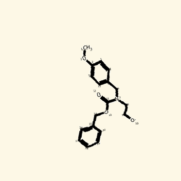 COc1ccc(CN(CC[O])C(=O)OCc2ccccc2)cc1